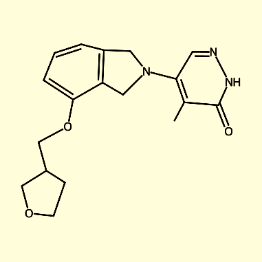 Cc1c(N2Cc3cccc(OCC4CCOC4)c3C2)cn[nH]c1=O